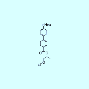 CCCCCCc1ccc(-c2ccc(C(=O)OC(C)COCC)cc2)cc1